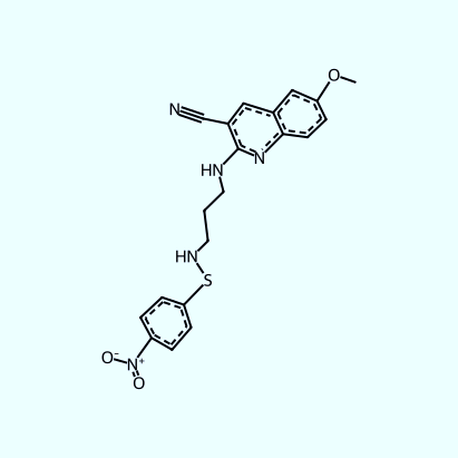 COc1ccc2nc(NCCCNSc3ccc([N+](=O)[O-])cc3)c(C#N)cc2c1